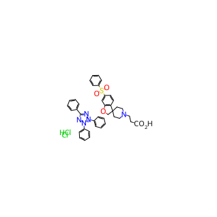 Cl.O=C(O)CCN1CCC2(CC1)COc1cc(S(=O)(=O)c3ccccc3)ccc12.[Cl-].c1ccc(-c2nn(-c3ccccc3)[n+](-c3ccccc3)n2)cc1